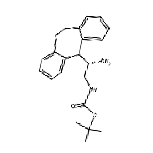 CC(C)(C)OC(=O)NC[C@@H](N)C1c2ccccc2CCc2ccccc21